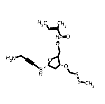 CC=C(C)[PH](=O)OCC1O[C@@H](BC#CCN)C[C@H]1OCSSC